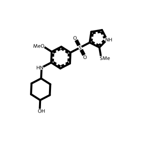 COc1cc(S(=O)(=O)c2cc[nH]c2SC)ccc1NC1CCC(O)CC1